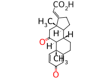 C[C@]12C=CC(=O)C=C1CC[C@@H]1[C@@H]2C(=O)C[C@]2(C)C(=CC(=O)O)CC[C@@H]12